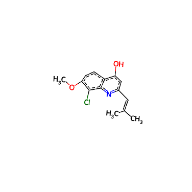 COc1ccc2c(O)cc(C=C(C)C)nc2c1Cl